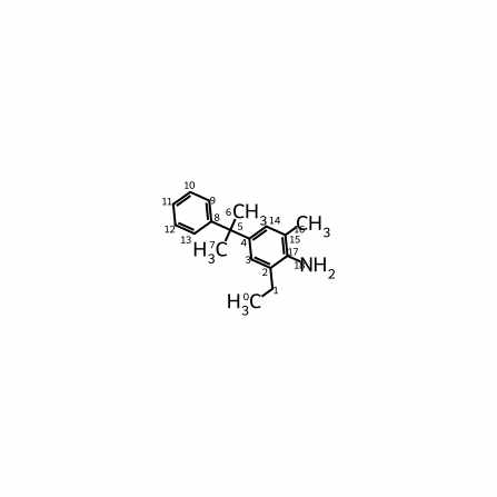 CCc1cc(C(C)(C)c2ccccc2)cc(C)c1N